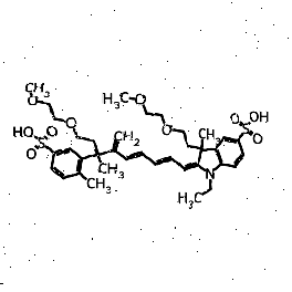 C=C(/C=C/C=C/C=C1/N(CC)c2ccc(S(=O)(=O)O)cc2C1(C)CCOCCOC)C(C)(CCOCCOC)c1cc(S(=O)(=O)O)ccc1C